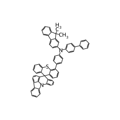 CC1(C)c2ccccc2-c2ccc(N(c3ccc(-c4ccccc4)cc3)c3ccc(-c4cccc5c4Sc4ccccc4C54c5ccccc5-n5c6ccccc6c6cccc4c65)cc3)cc21